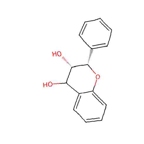 OC1c2ccccc2O[C@@H](c2ccccc2)[C@H]1O